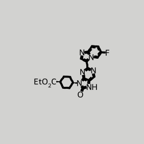 CCOC(=O)[C@H]1CC[C@@H](n2c(=O)[nH]c3cnc(-c4cnc5ccc(F)cn45)nc32)CC1